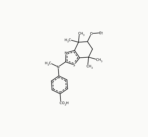 CCOC1CC(C)(C)c2sc(N(C)c3ccc(C(=O)O)cc3)nc2C1(C)C